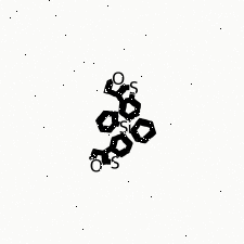 c1ccc([Si](c2ccccc2)(c2ccc3sc4occc4c3c2)c2ccc3sc4occc4c3c2)cc1